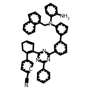 N#Cc1ccc(C2=C(c3nc(-c4ccccc4)nc(-c4cccc(-c5cccc(N(Cc6cccc7ccccc67)c6ccccc6N)c5)c4)n3)C=CCC2)cc1